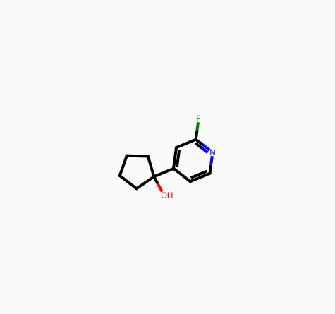 OC1(c2ccnc(F)c2)CCCC1